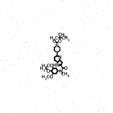 COc1cc(N(C)C(=O)c2cc3nc(C4CCN(C(=O)OC(C)(C)C)CC4)ccc3[nH]2)cc(OC)c1OC